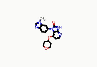 Cn1cnc2ccc(-n3c(=O)[nH]c4nccc(OC5CCOCC5)c43)cc21